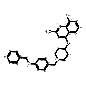 Cc1cc(OC2CCN(Cc3ccc(OCc4ccccc4)cc3)CC2)c2cccc(F)c2n1